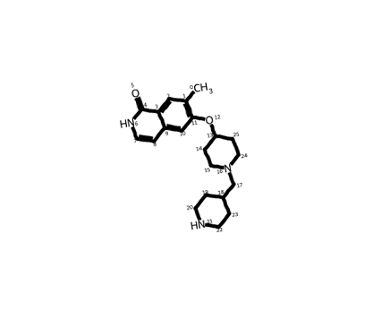 Cc1cc2c(=O)[nH]ccc2cc1OC1CCN(CC2CCNCC2)CC1